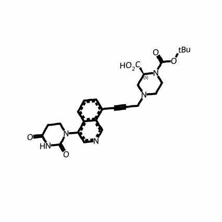 CC(C)(C)OC(=O)N1CCN(CC#Cc2cccc3c(N4CCC(=O)NC4=O)cncc23)C[C@H]1C(=O)O